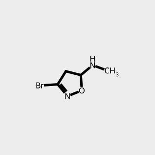 CNC1CC(Br)=NO1